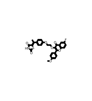 COc1ccc(-c2oc3ccc(F)cc3c(=O)c2OCCOc2ccc(C(C)=C3SC(=O)NC3=O)cc2)cc1